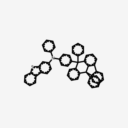 c1ccc(N(c2ccc(C3(c4ccccc4)c4ccccc4C4(c5ccccc5)c5ccccc5-c5cccc3c54)cc2)c2ccc3c(c2)sc2ccccc23)cc1